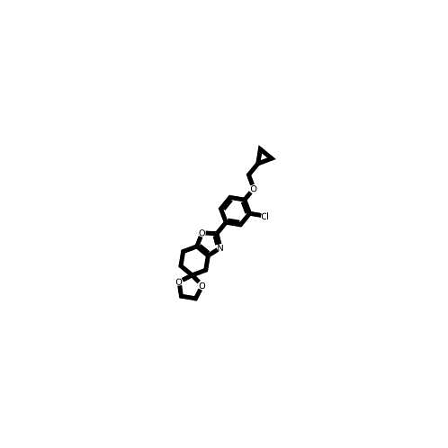 Clc1cc(-c2nc3c(o2)CCC2(C3)OCCO2)ccc1OCC1CC1